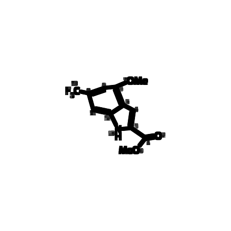 COC(=O)c1cc2c(OC)cc(C(F)(F)F)cc2[nH]1